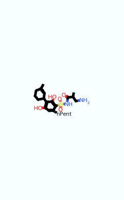 CCCCCc1cc(O)c(C2C=C(C)CCC2)c(O)c1S(=O)(=O)NC(=O)C(C)CN